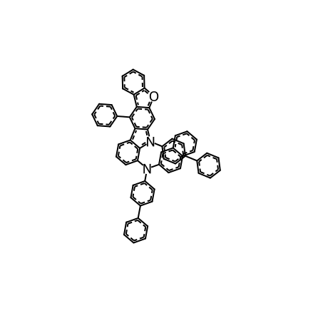 c1ccc(-c2ccc(N(c3ccc4ccccc4c3)c3cccc4c5c(-c6ccccc6)c6c(cc5n(-c5ccc(-c7ccccc7)cc5)c34)oc3ccccc36)cc2)cc1